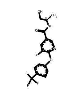 C[C@H](CO)NC(=O)c1cnc(Oc2ccc(C(F)(F)F)cc2)c(Br)c1